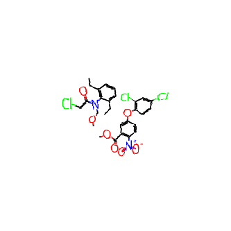 CCc1cccc(CC)c1N(COC)C(=O)CCl.COC(=O)c1cc(Oc2ccc(Cl)cc2Cl)ccc1[N+](=O)[O-]